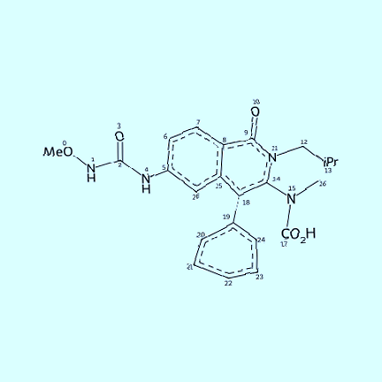 CONC(=O)Nc1ccc2c(=O)n(CC(C)C)c(N(C)C(=O)O)c(-c3ccccc3)c2c1